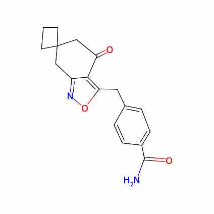 NC(=O)c1ccc(Cc2onc3c2C(=O)CC2(CCC2)C3)cc1